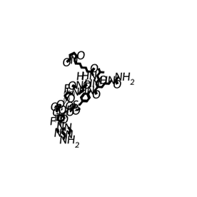 COP(=O)(OC[C@H]1O[C@@H](n2cnc3c(N)ncnc32)[C@H](F)[C@@H]1OP(=O)(O)OC[C@@H]1C[C@@H](F)[C@H](n2ccc(=O)[nH]c2=O)O1)SCc1ccc(NC(=O)C(CCCNC(N)=O)NC(=O)C(NC(=O)CCCCCN2C(=O)C=CC2=O)C(C)C)cc1